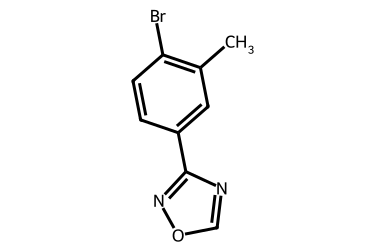 Cc1cc(-c2ncon2)ccc1Br